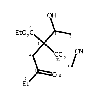 CC#N.CCOC(=O)C(CC(=O)CC)(C(C)O)C(Cl)(Cl)Cl